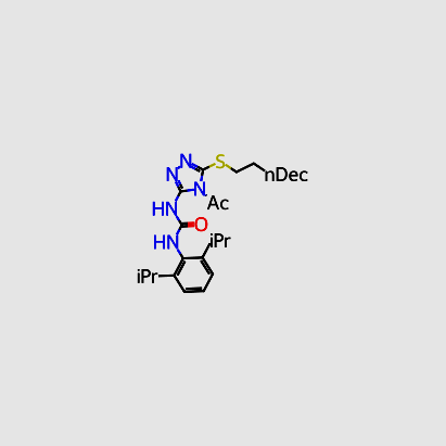 CCCCCCCCCCCCSc1nnc(NC(=O)Nc2c(C(C)C)cccc2C(C)C)n1C(C)=O